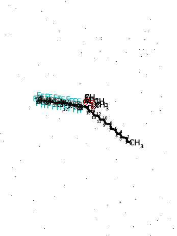 CCCCCCCCCCCCCCCCC(C(F)(F)C(F)(F)C(F)(F)C(F)(F)C(F)(F)C(F)(F)C(F)(F)C(F)(F)C(F)(F)C(F)(F)C(F)(F)C(F)(F)F)[Si](OC)(OC)OC